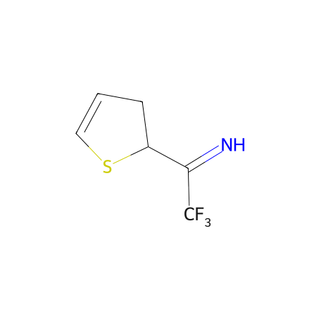 N=C(C1CC=CS1)C(F)(F)F